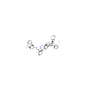 C/C=C\c1c(/C=C/c2ccc3c(c2)c2ccccc2n3C)c2ccccc2n1-c1ccc(C2C=C(c3ccccc3)NC(C3=CC=CCC3)N2)cc1